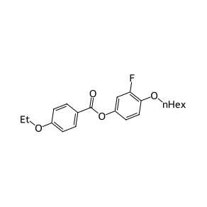 CCCCCCOc1ccc(OC(=O)c2ccc(OCC)cc2)cc1F